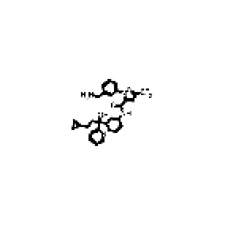 NCc1cccc(-n2nc(C(F)(F)F)cc2C(=O)NC2=CC(C(O)(CCC3CC3)c3ccccn3)CC=C2)c1